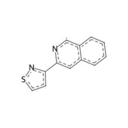 [c]1nc(-c2ccsn2)cc2ccccc12